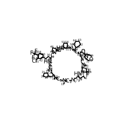 CC[C@H](C)[C@H]1CN(C)CCN(C)CCN(C)[C@@H](CC2CCCC2)CN(C)CCN[C@@H](CCc2ccc(C(F)(F)F)c(Cl)c2)CN2CCC[C@H]2CNC2(CCCC2)CN(C)[C@@H](C2CCCCC2)CN(C)[C@H](C(=O)N2C3CCC2COC3)CCN(C)[C@@H](CC(F)(F)F)CN1